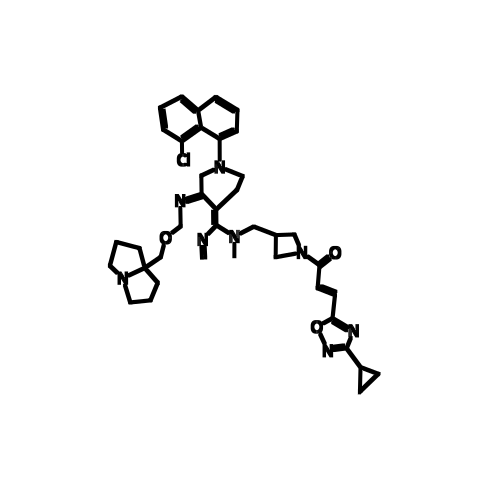 C=N/C(=C1/CCN(c2cccc3cccc(Cl)c23)C/C1=N/COCC12CCCN1CCC2)N(C)CC1CN(C(=O)/C=C/c2nc(C3CC3)no2)C1